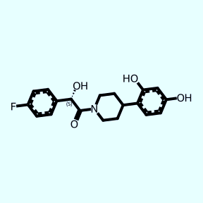 O=C([C@@H](O)c1ccc(F)cc1)N1CCC(c2ccc(O)cc2O)CC1